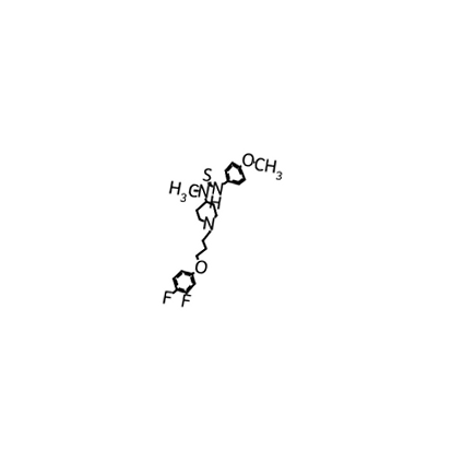 COc1ccc(NC(=S)N(C)C2CCN(CCCCOc3ccc(F)c(F)c3)CC2)cc1